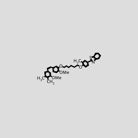 COc1ccc(/C=C\c2cc(C)c(C)c(OC)c2)cc1OCCCCCCOc1ccc(-c2nc3ccccc3s2)cc1C